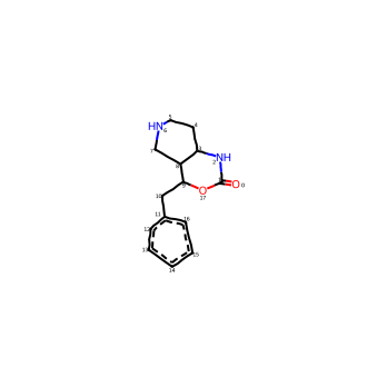 O=C1NC2CCNCC2C(Cc2ccccc2)O1